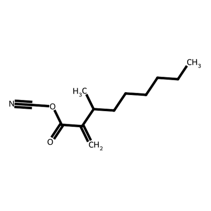 C=C(C(=O)OC#N)C(C)CCCCCC